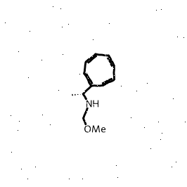 COCN[C@H](C)C1=C/C=C\C=C/C=C\1